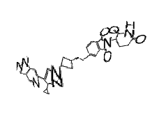 Cn1ncc2cnc(-c3cn([C@H]4C[C@H](CCc5ccc6c(c5)C(=O)N(C5CCC(=O)NC5=O)C6=O)C4)nc3C3CC3)cc21